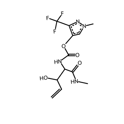 C=CC(O)C(NC(=O)Oc1cn(C)nc1C(F)(F)F)C(=O)NC